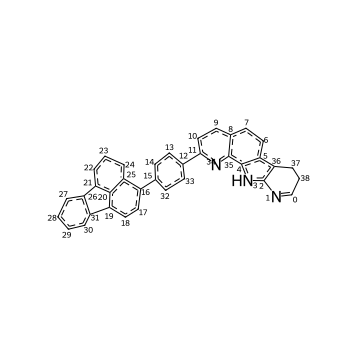 C1=Nc2[nH]c3c(ccc4ccc(-c5ccc(-c6ccc7c8c(cccc68)-c6ccccc6-7)cc5)nc43)c2CC1